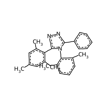 Cc1cc(C)c(-c2nnc(-c3ccccc3)n2-c2c(C)cccc2C)c(C)c1